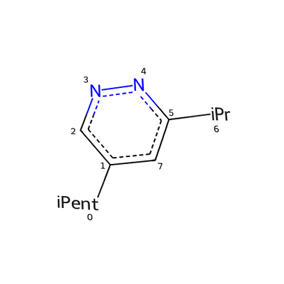 CCCC(C)c1cnnc(C(C)C)c1